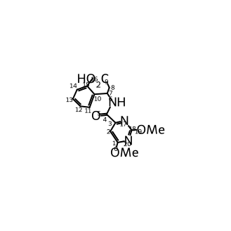 COc1cc(C(=O)NC(CC(=O)O)c2ccccc2C)nc(OC)n1